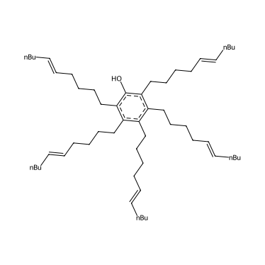 CCCC/C=C/CCCCc1c(O)c(CCCC/C=C/CCCC)c(CCCC/C=C/CCCC)c(CCCC/C=C/CCCC)c1CCCC/C=C/CCCC